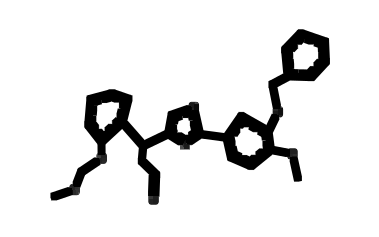 COCOc1ccccc1C(CC=O)c1coc(-c2ccc(OC)c(OCc3ccccc3)c2)n1